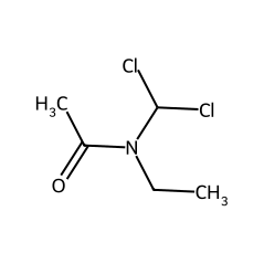 CCN(C(C)=O)C(Cl)Cl